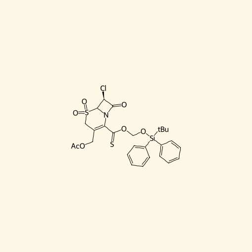 CC(=O)OCC1=C(C(=S)OCO[Si](c2ccccc2)(c2ccccc2)C(C)(C)C)N2C(=O)[C@H](Cl)C2S(=O)(=O)C1